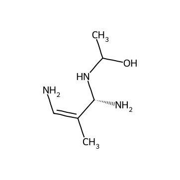 C/C(=C/N)[C@@H](N)NC(C)O